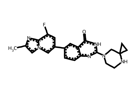 Cc1cn2cc(-c3ccc4nc(N5CCNC6(CC6)C5)[nH]c(=O)c4c3)cc(F)c2n1